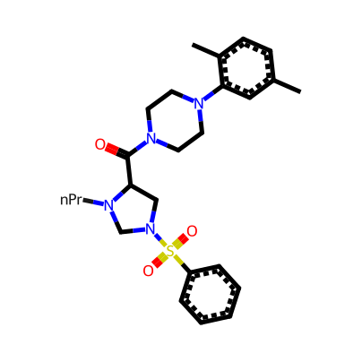 CCCN1CN(S(=O)(=O)c2ccccc2)CC1C(=O)N1CCN(c2cc(C)ccc2C)CC1